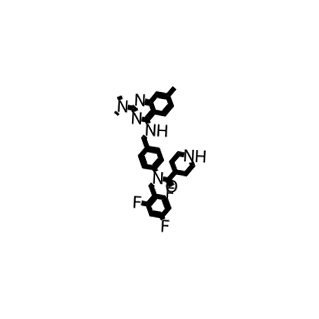 Cc1ccc2c(NCc3ccc(N(Cc4c(F)cc(F)cc4F)C(=O)C4CCNCC4)cc3)nc(N(C)C)nc2c1